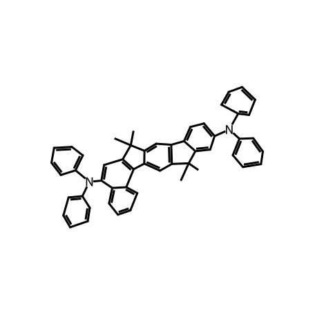 CC1(C)c2cc(N(c3ccccc3)c3ccccc3)ccc2-c2cc3c(cc21)-c1c(cc(N(c2ccccc2)c2ccccc2)c2ccccc12)C3(C)C